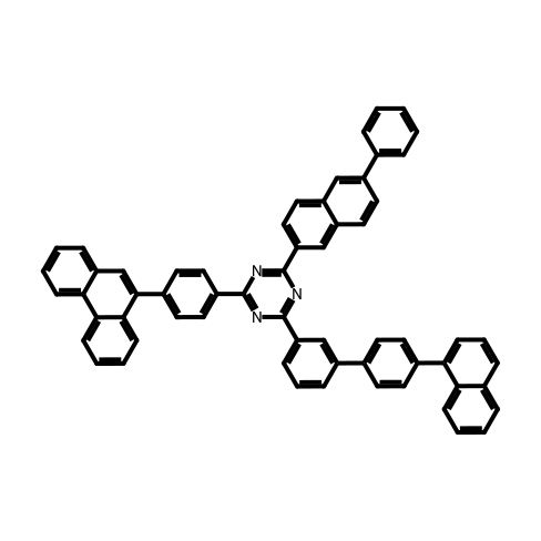 c1ccc(-c2ccc3cc(-c4nc(-c5ccc(-c6cc7ccccc7c7ccccc67)cc5)nc(-c5cccc(-c6ccc(-c7cccc8ccccc78)cc6)c5)n4)ccc3c2)cc1